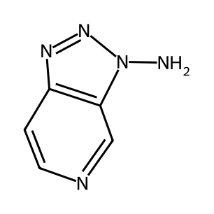 Nn1nnc2ccncc21